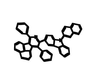 c1ccc(-c2nc(-c3ccc4c(c3)c3ccccc3n4-c3ccc4ccccc4c3)c(-c3ccccc3)c3c2-c2cccc4cccc-3c24)cc1